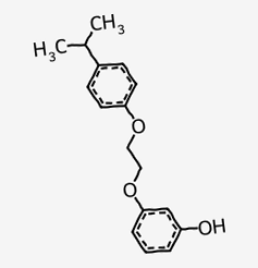 CC(C)c1ccc(OCCOc2cccc(O)c2)cc1